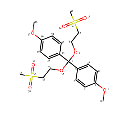 COc1ccc(C(OCCS(C)(=O)=O)(OCCS(C)(=O)=O)c2ccc(OC)cc2)cc1